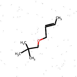 C/C=C/COCC(C)(C)C